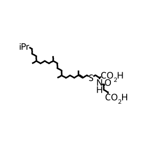 C/C(=C\CSCC(NC(=O)CCC(=O)O)C(=O)O)CCCC(C)CCCC(C)CCCC(C)CCCC(C)C